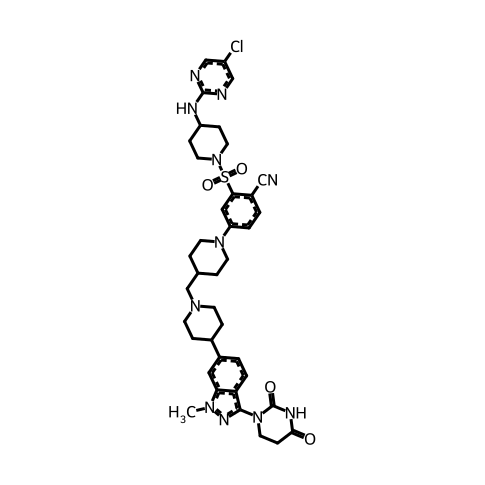 Cn1nc(N2CCC(=O)NC2=O)c2ccc(C3CCN(CC4CCN(c5ccc(C#N)c(S(=O)(=O)N6CCC(Nc7ncc(Cl)cn7)CC6)c5)CC4)CC3)cc21